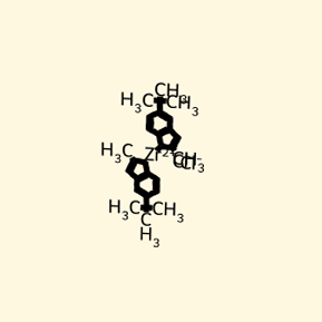 CC1=Cc2cc(C(C)(C)C)ccc2[CH]1[Zr+2][CH]1C(C)=Cc2cc(C(C)(C)C)ccc21.[Cl-].[Cl-]